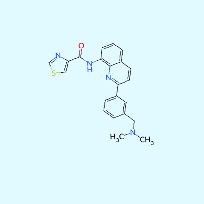 CN(C)Cc1cccc(-c2ccc3cccc(NC(=O)c4cscn4)c3n2)c1